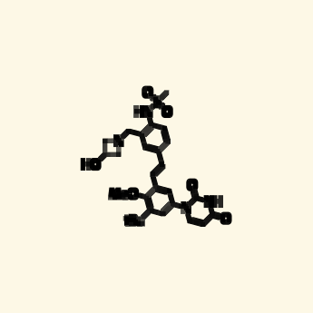 COc1c(C=Cc2ccc(NS(C)(=O)=O)c(CN3CC(O)C3)c2)cc(-n2ccc(=O)[nH]c2=O)cc1C(C)(C)C